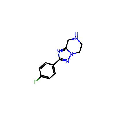 Fc1ccc(-c2nc3n(n2)CCNC3)cc1